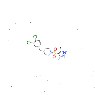 Cc1nn(C)c(C)c1S(=O)(=O)N1CCC(Cc2ccc(Cl)c(Cl)c2)CC1